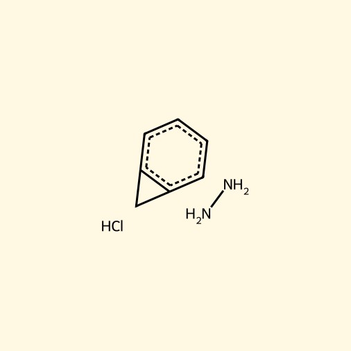 Cl.NN.c1ccc2c(c1)C2